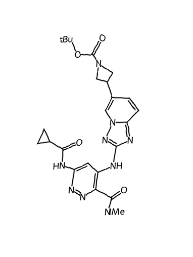 CNC(=O)c1nnc(NC(=O)C2CC2)cc1Nc1nc2ccc(C3CN(C(=O)OC(C)(C)C)C3)cn2n1